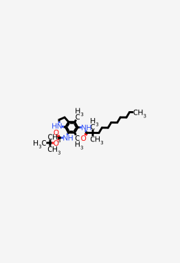 CCCCCCCCCC(C)(C)C(=O)Nc1c(C)c2c(c(NC(=O)OC(C)(C)C)c1C)NCC2